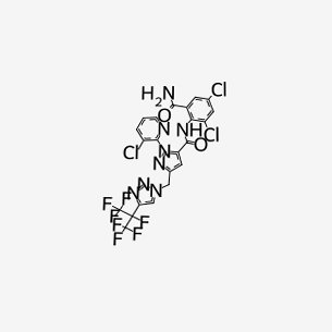 NC(=O)c1cc(Cl)cc(Cl)c1NC(=O)c1cc(Cn2cc(C(F)(C(F)(F)F)C(F)(F)F)nn2)nn1-c1ncccc1Cl